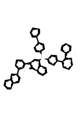 c1ccc(-c2ccc(N(c3ccc(-c4cccc5oc6ccccc6c45)cc3)c3cc4c5cccc(-c6ccc7ccccc7c6)c5oc4c4ccccc34)cc2)cc1